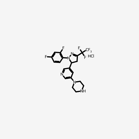 Cl.Fc1ccc(N2N=C(C(F)(F)C(F)(F)F)CC2c2cncc(N3CCNCC3)c2)c(F)c1